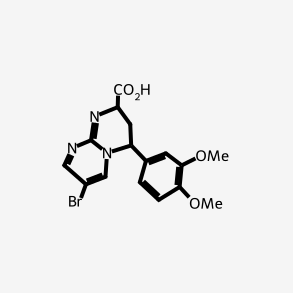 COc1ccc(C2CC(C(=O)O)N=C3N=CC(Br)=CN32)cc1OC